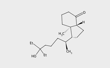 CCC(O)(CC)CCC[C@H](C)[C@H]1CC[C@H]2C(=O)CCC[C@]12C